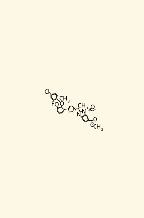 COC(=O)c1ccc2nc(C(C)N3CC=C(c4cccc5c4OC(C)(c4ccc(Cl)cc4F)O5)CC3)n(C[C@@H]3CCO3)c2c1